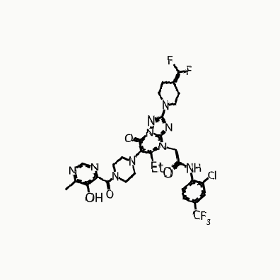 CCc1c(N2CCN(C(=O)c3ncnc(C)c3O)CC2)c(=O)n2nc(N3CCC(=C(F)F)CC3)nc2n1CC(=O)Nc1ccc(C(F)(F)F)cc1Cl